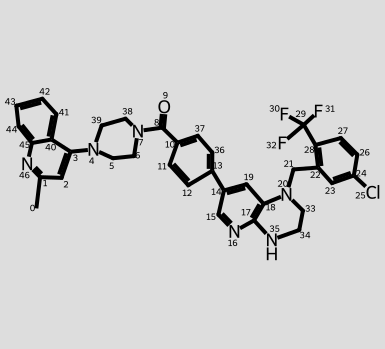 Cc1cc(N2CCN(C(=O)c3ccc(-c4cnc5c(c4)N(Cc4cc(Cl)ccc4C(F)(F)F)CCN5)cc3)CC2)c2ccccc2n1